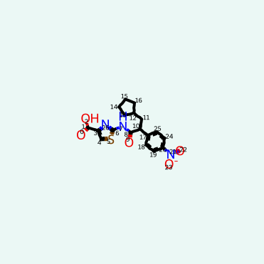 O=C(O)c1csc(NC(=O)C(CC2CCCC2)c2ccc([N+](=O)[O-])cc2)n1